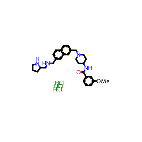 COc1cccc(C(=O)NC2CCN(Cc3ccc4ccc(CNCC5CCCN5)cc4c3)CC2)c1.Cl.Cl.Cl